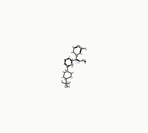 C=N/C=C(/c1cccc(N2CCC(C(C)(C)O)CC2)n1)N1C=C(C)N=CC1